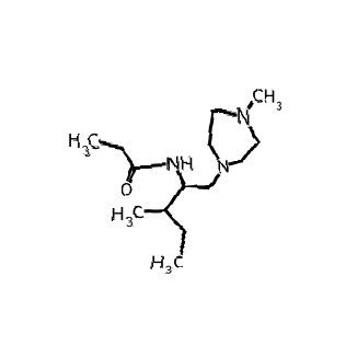 CCC(=O)N[C@@H](CN1CCN(C)CC1)C(C)CC